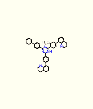 CC1CC(c2cccc3c2N=CCC3)=CCC1C1=NC(c2ccc(C3=CC=CCC3)cc2)=NC(c2ccc(C3=C4N=CCCC4CC=C3)cc2)N1